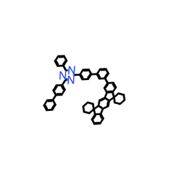 C1=C2C(=CC3c4ccccc4C4(CCCCC4)C13)C1(CCCCC1)c1ccc(-c3cccc(-c4ccc(-c5nc(-c6ccccc6)nc(-c6ccc(-c7ccccc7)cc6)n5)cc4)c3)cc12